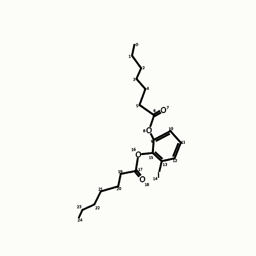 CCCCCCC(=O)Oc1cccc(I)c1OC(=O)CCCCCC